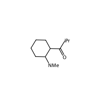 CNC1CCCCC1C(=O)C(C)C